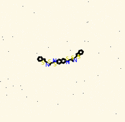 c1ccc2sc(-c3ncc(-c4nc5cc6cc7sc(-c8cnc(-c9cc%10ccccc%10s9)s8)nc7cc6cc5s4)s3)cc2c1